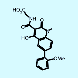 COc1ccccc1-c1ccc2c(c1)c(O)c(C(=O)NCC(=O)O)c(=O)n2C